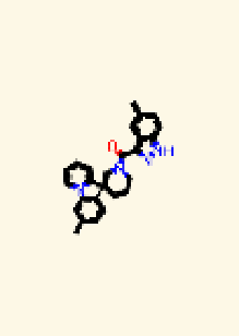 Cc1ccc([C@]2(c3ccccn3)CCCN(C(=O)c3n[nH]c4ccc(C)cc34)C2)cc1